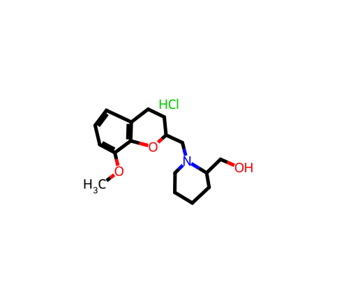 COc1cccc2c1OC(CN1CCCCC1CO)CC2.Cl